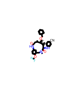 CC1CC(=O)Nc2ccc(OC(F)F)c(c2)CN(C)C(=O)C(Nc2ccc(C#N)cc2)c2ccc(OCc3ccccc3)c1c2